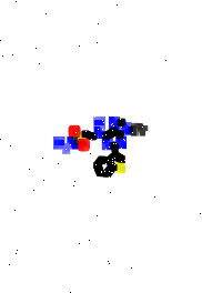 CC(C)n1cnc2c(NCCS(N)(=O)=O)nc(-c3csc4ccccc34)nc21